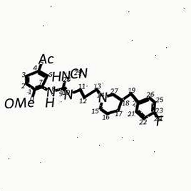 COc1ccc(C(C)=O)cc1NC(=NCCCN1CCCC(Cc2ccc(F)cc2)C1)NC#N